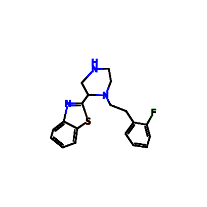 Fc1ccccc1CCN1CCNCC1c1nc2ccccc2s1